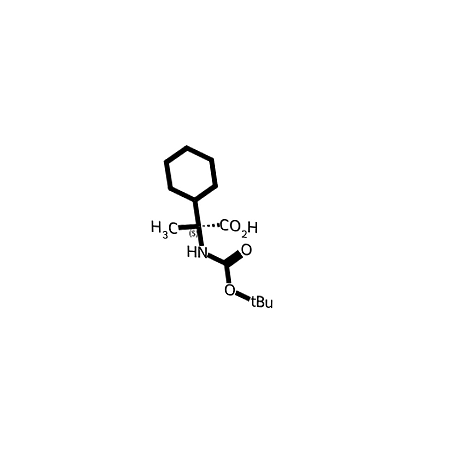 CC(C)(C)OC(=O)N[C@](C)(C(=O)O)C1CCCCC1